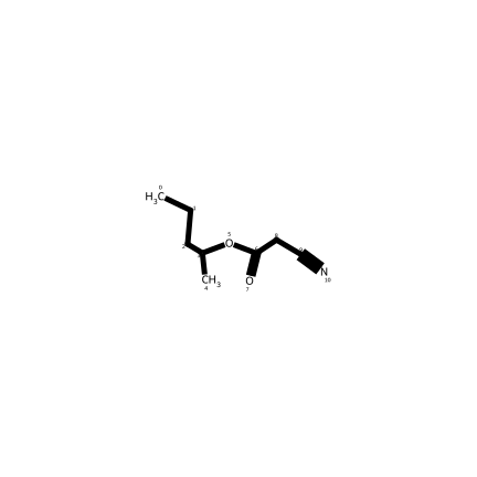 CCCC(C)OC(=O)CC#N